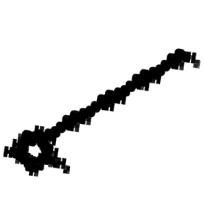 CCCC[C@@H]1NC(=O)[C@H](CS)NC(=O)[C@H](CCCCN)NC(=O)CSC[C@@H](C(=O)NCCOCCOCCOCCNC(=O)COCC(=O)NCCOCCOCCOCCNC(=O)COCC(=O)NCCOCCOCCOCCNC(=O)COCC(=O)NCCOCCOCCOCCNC(=O)COCC(N)=O)NC(=O)[C@H](Cc2ccccc2)NC(=O)[C@H](CS)NC(=O)[C@H](CC(=O)O)NC(=O)CNC1=O